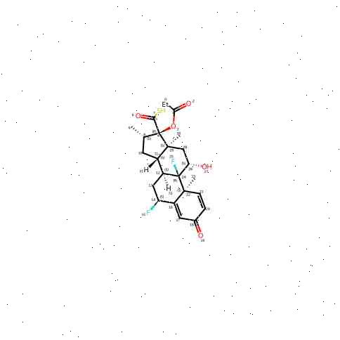 CCC(=O)O[C@]1(C(=O)S)[C@@H](C)C[C@H]2[C@@H]3C[C@H](F)C4=CC(=O)C=C[C@]4(C)[C@@]3(F)[C@@H](O)C[C@@]21C